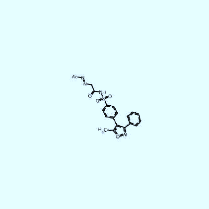 CC(=O)N=NCC(=O)NS(=O)(=O)c1ccc(-c2c(-c3ccccc3)noc2C)cc1